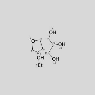 C1CCOC1.CCO.OCC(O)CO